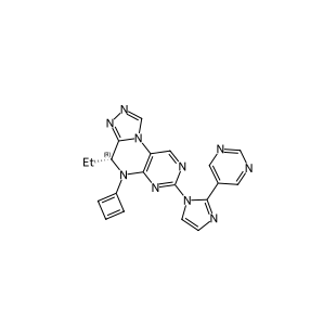 CC[C@@H]1c2nncn2-c2cnc(-n3ccnc3-c3cncnc3)nc2N1C1=CC=C1